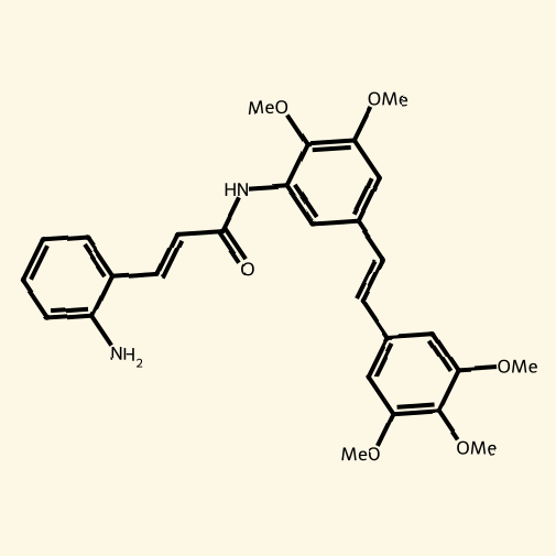 COc1cc(/C=C/c2cc(OC)c(OC)c(OC)c2)cc(NC(=O)/C=C/c2ccccc2N)c1OC